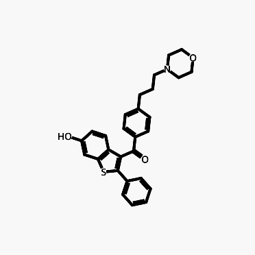 O=C(c1ccc(CCCN2CCOCC2)cc1)c1c(-c2ccccc2)sc2cc(O)ccc12